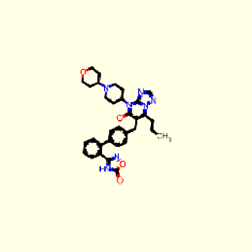 CCCc1c(Cc2ccc(-c3ccccc3-c3noc(=O)[nH]3)cc2)c(=O)n(C2CCN(C3CCOCC3)CC2)c2ncnn12